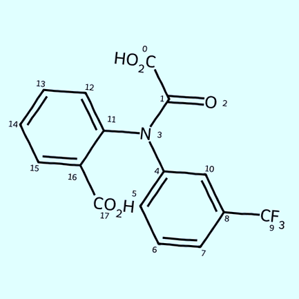 O=C(O)C(=O)N(c1cccc(C(F)(F)F)c1)c1ccccc1C(=O)O